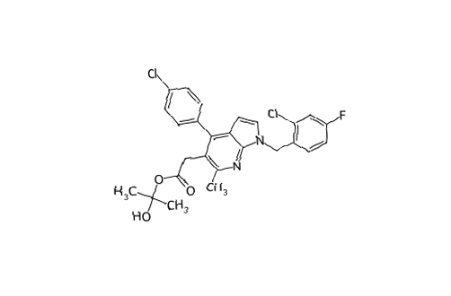 Cc1nc2c(ccn2Cc2ccc(F)cc2Cl)c(-c2ccc(Cl)cc2)c1CC(=O)OC(C)(C)O